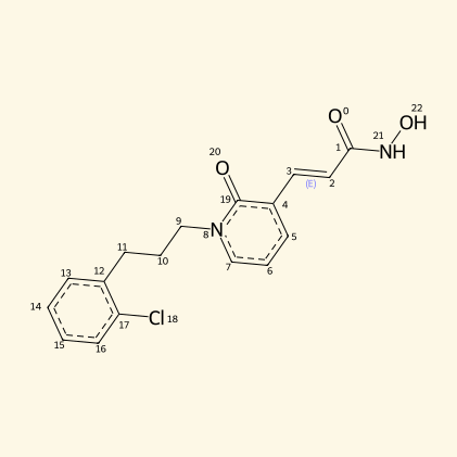 O=C(/C=C/c1cccn(CCCc2ccccc2Cl)c1=O)NO